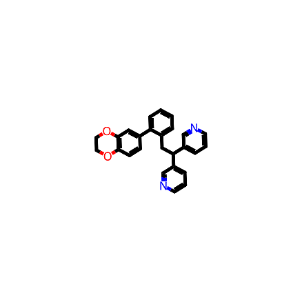 c1cncc(C(Cc2ccccc2-c2ccc3c(c2)OCCO3)c2cccnc2)c1